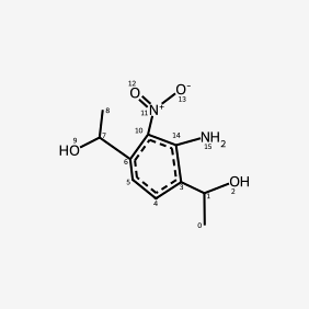 CC(O)c1ccc(C(C)O)c([N+](=O)[O-])c1N